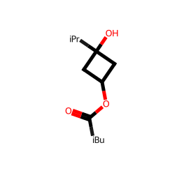 CCC(C)C(=O)OC1CC(O)(C(C)C)C1